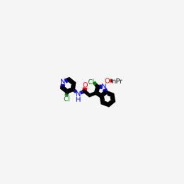 CCCOn1c(Cl)c(CC(=O)Nc2ccncc2Cl)c2ccccc21